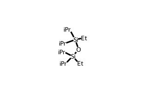 CC[Si](O[Si](CC)(C(C)C)C(C)C)(C(C)C)C(C)C